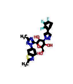 Cc1nc([C@@H]2O[C@H](CO)[C@H](O)[C@H](n3cc(-c4ccc(F)c(F)c4F)cn3)[C@H]2O)n(-c2ccc3nc(C)sc3c2)n1